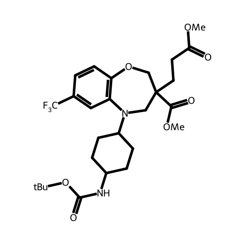 COC(=O)CCC1(C(=O)OC)COc2ccc(C(F)(F)F)cc2N(C2CCC(NC(=O)OC(C)(C)C)CC2)C1